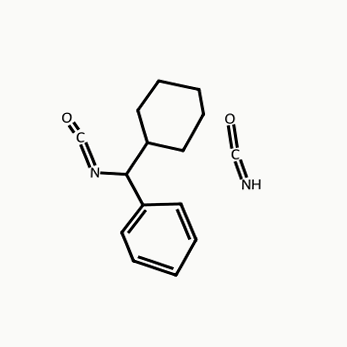 N=C=O.O=C=NC(c1ccccc1)C1CCCCC1